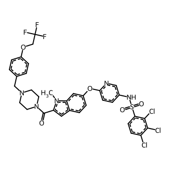 Cn1c(C(=O)N2CCN(Cc3ccc(OCC(F)(F)F)cc3)CC2)cc2ccc(Oc3ccc(NS(=O)(=O)c4ccc(Cl)c(Cl)c4Cl)cn3)cc21